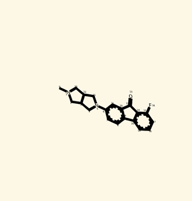 CN1CC2CN(c3ccc4c(c3)C(=O)c3c(F)cccc3-4)CC2C1